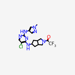 Cn1cc(Nc2ncc(Cl)c(NC3CC4CN(C(=O)C(F)(F)F)CC4C3)n2)cn1